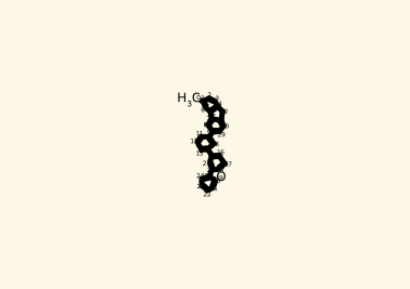 Cc1ccc2c(c1)-c1cc(-c3cccc(-c4ccc5oc6ccccc6c5c4)c3)ccc1C2